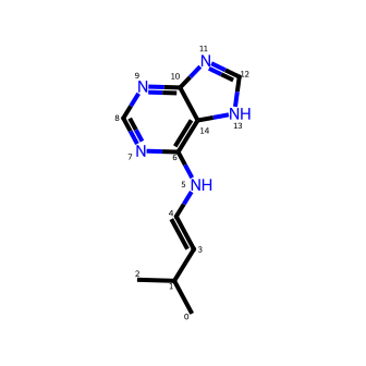 CC(C)C=CNc1ncnc2nc[nH]c12